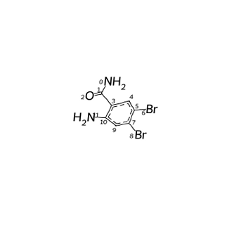 NC(=O)c1cc(Br)c(Br)cc1N